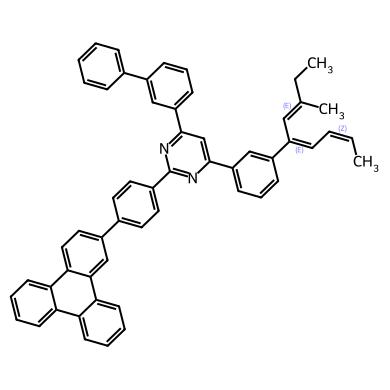 C\C=C/C=C(\C=C(/C)CC)c1cccc(-c2cc(-c3cccc(-c4ccccc4)c3)nc(-c3ccc(-c4ccc5c6ccccc6c6ccccc6c5c4)cc3)n2)c1